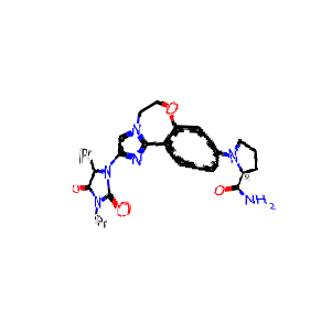 CC(C)C1C(=O)N(C(C)C)C(=O)N1c1cn2c(n1)-c1ccc(N3CCC[C@H]3C(N)=O)cc1OCC2